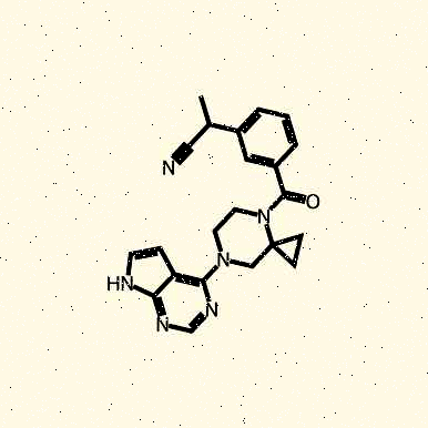 CC(C#N)c1cccc(C(=O)N2CCN(c3ncnc4[nH]ccc34)CC23CC3)c1